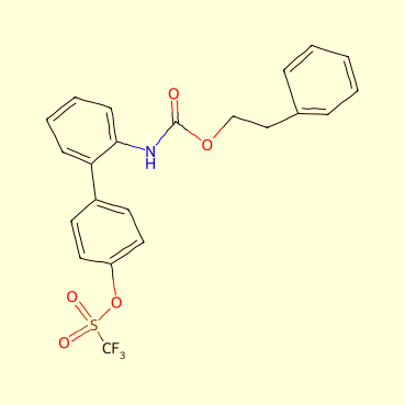 O=C(Nc1ccccc1-c1ccc(OS(=O)(=O)C(F)(F)F)cc1)OCCc1ccccc1